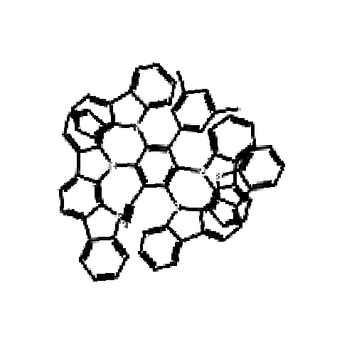 Cc1cc(C)cc(-c2c(-n3c4ccccc4c4ccccc43)c(-n3c4ccccc4c4ccc5c6ccccc6sc5c43)c(C#N)c(-n3c4ccccc4c4ccc5c6ccccc6sc5c43)c2-n2c3ccccc3c3ccccc32)c1